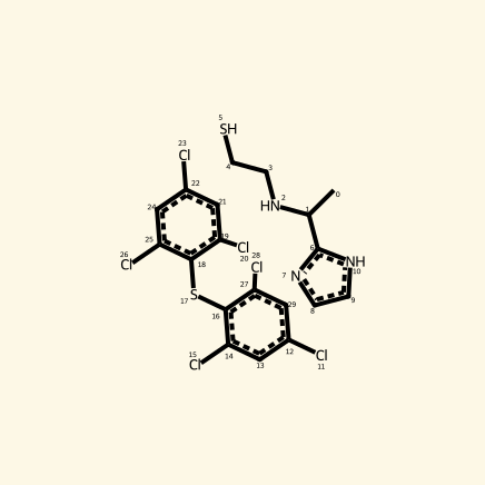 CC(NCCS)c1ncc[nH]1.Clc1cc(Cl)c(Sc2c(Cl)cc(Cl)cc2Cl)c(Cl)c1